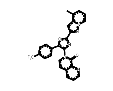 Cc1cccn2nc(-c3nc(-n4ccc5cccnc5c4=O)c(-c4ccc(C(F)(F)F)cc4)o3)cc12